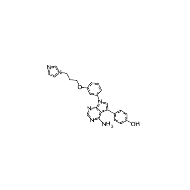 Nc1ncnc2c1c(-c1ccc(O)cc1)cn2-c1cccc(OCCCn2ccnc2)c1